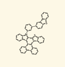 c1cc(-c2ccc3sc4ccccc4c3c2)cc(-n2c3ccccc3c3c4c5ccccc5c5ccccc5c4c4c5ccccc5sc4c32)c1